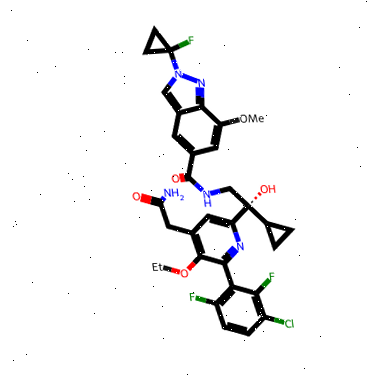 CCOc1c(CC(N)=O)cc([C@@](O)(CNC(=O)c2cc(OC)c3nn(C4(F)CC4)cc3c2)C2CC2)nc1-c1c(F)ccc(Cl)c1F